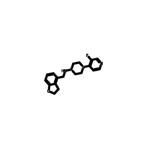 Fc1cnccc1N1CCN(NCc2cccc3c2CCO3)CC1